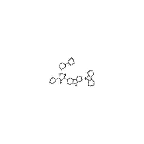 c1ccc(-c2cccc(C3=NC(c4ccccc4)NC(c4ccc5oc6cc(-n7c8ccccc8c8ccccc87)ccc6c5c4)=N3)c2)cc1